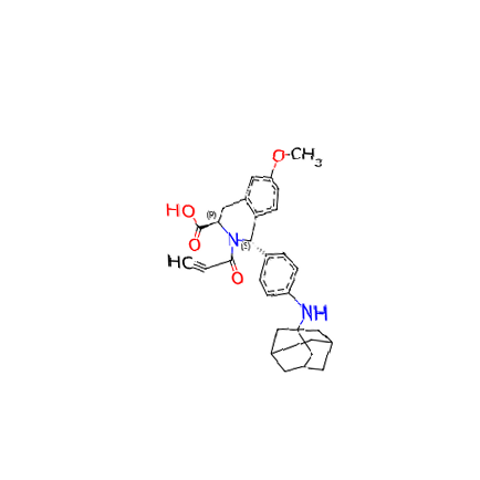 C#CC(=O)N1[C@@H](c2ccc(NC34CC5CC(CC(C5)C3)C4)cc2)c2ccc(OC)cc2C[C@@H]1C(=O)O